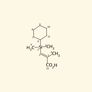 CC(=C[Si](C)(C)C1CCCCC1)C(=O)O